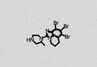 CC1CNCCN1c1nc2c(Br)c(Br)c(Br)c3c2n1CCC3